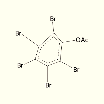 CC(=O)Oc1c(Br)c(Br)c(Br)c(Br)c1Br